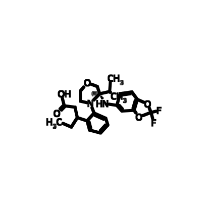 CCC(CC(=O)O)c1ccccc1N1CCOC[C@@]1(Nc1ccc2c(c1)OC(F)(F)O2)C(C)C